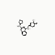 Fc1ccc(CNc2nc(NC3CCCC3)nc3ccccc23)cc1Cl